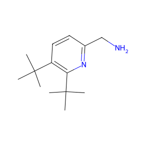 CC(C)(C)c1ccc(CN)nc1C(C)(C)C